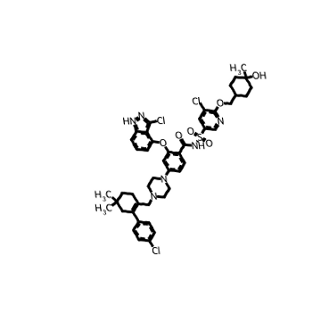 CC1(C)CCC(CN2CCN(c3ccc(C(=O)NS(=O)(=O)c4cnc(OCC5CCC(C)(O)CC5)c(Cl)c4)c(Oc4cccc5[nH]nc(Cl)c45)c3)CC2)=C(c2ccc(Cl)cc2)C1